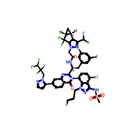 CS(=O)(=O)Nc1nn(CCCF)c2c(-n3c([C@H](Cc4cc(F)cc(F)c4)NC(=O)Cn4nc(C(F)F)c5c4C(F)(F)[C@@H]4C[C@H]54)nc4cc(-c5ccnn5CC(F)(F)C(F)F)ccc4c3=O)ccc(Cl)c12